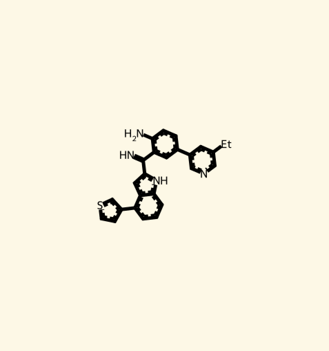 CCc1cncc(-c2ccc(N)c(C(=N)c3cc4c(-c5ccsc5)cccc4[nH]3)c2)c1